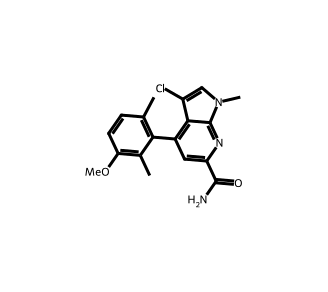 COc1ccc(C)c(-c2cc(C(N)=O)nc3c2c(Cl)cn3C)c1C